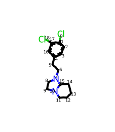 Clc1ccc(CCN2CCN3CCCCC32)cc1Cl